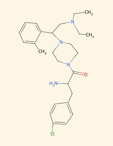 CCN(CC)CC(c1ccccc1C)N1CCN(C(=O)C(N)Cc2ccc(Cl)cc2)CC1